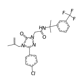 C=C(C)Cn1c(-c2ccc(Cl)cc2)nn(CC(=O)NC(C)(C)c2cccc(C(F)(F)F)c2)c1=O